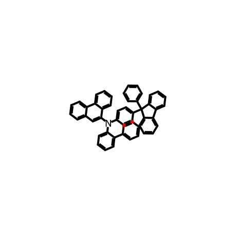 c1ccc(-c2ccccc2N(c2ccc(C3(c4ccccc4)c4ccccc4-c4ccccc43)cc2)c2cc3ccccc3c3ccccc23)cc1